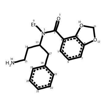 CCN(C(=O)c1cccc2c1OCO2)C(CCN)Cc1ccccc1